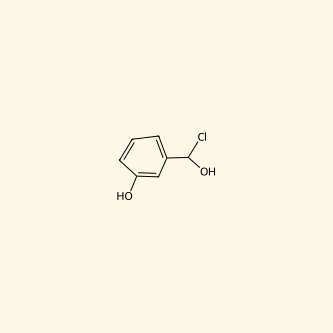 Oc1cccc(C(O)Cl)c1